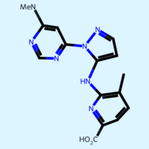 CNc1cc(-n2nccc2Nc2nc(C(=O)O)ccc2C)ncn1